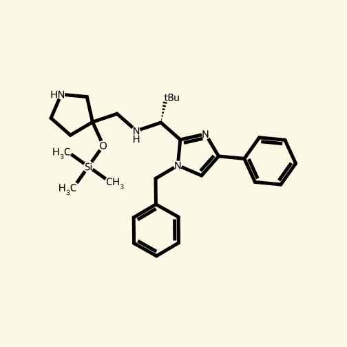 CC(C)(C)[C@@H](NCC1(O[Si](C)(C)C)CCNC1)c1nc(-c2ccccc2)cn1Cc1ccccc1